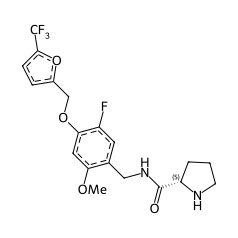 COc1cc(OCc2ccc(C(F)(F)F)o2)c(F)cc1CNC(=O)[C@@H]1CCCN1